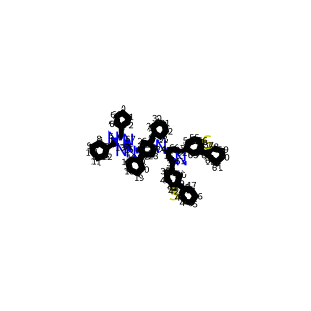 c1ccc(-c2nc(-c3ccccc3)nc(-n3c4ccccc4c4cc5c(cc43)c3ccccc3n5-c3cc(-c4ccc5sc6ccccc6c5c4)nc(-c4ccc5sc6ccccc6c5c4)c3)n2)cc1